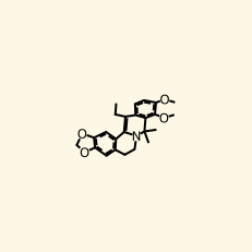 CCC1=C2c3cc4c(cc3CCN2C(C)(C)c2c1ccc(OC)c2OC)OCO4